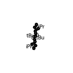 CC(C)c1cccc(N(c2ccc3cc4c(cc3c2)oc2c(C(C)(C)C)c3c(oc5cc6cc(N(c7cccc(C(C)C)c7)c7cccc8c7oc7ccccc78)ccc6cc53)c(C(C)(C)C)c24)c2cccc3c2oc2ccccc23)c1